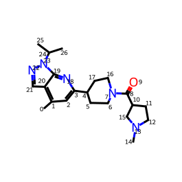 Cc1cc(C2CCN(C(=O)C3CCN(C)C3)CC2)nc2c1cnn2C(C)C